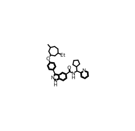 CCC1CCC(C)CC(Oc2ccc(-c3n[nH]c4ccc(C(=O)NC(c5ccccn5)C5CCCC5)cc34)cc2)C1